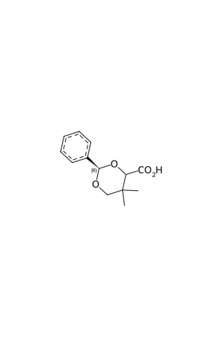 CC1(C)CO[C@@H](c2ccccc2)OC1C(=O)O